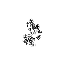 CC(C)(C)NC[C@H](O)COc1nsnc1N1CCOCC1.CC(C)OC(=O)CCC/C=C\C[C@@H]1[C@@H](CC[C@@H](O)CCc2ccccc2)[C@H](O)C[C@@H]1O.CCN[C@H]1C[C@H](C)S(=O)(=O)c2sc(S(N)(=O)=O)cc21.C[C@@H]1C[C@H]2[C@@H]3CCC4=CC(=O)C=C[C@]4(C)[C@@]3(F)[C@@H](O)C[C@]2(C)[C@@]1(O)C(=O)CO